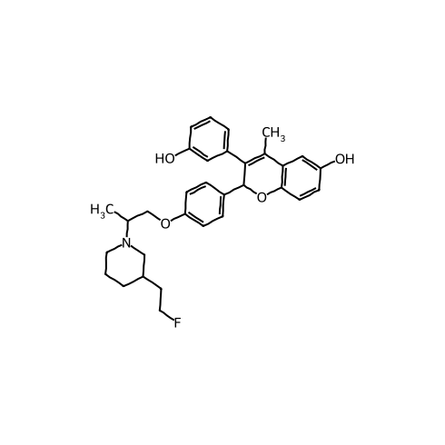 CC1=C(c2cccc(O)c2)C(c2ccc(OCC(C)N3CCCC(CCF)C3)cc2)Oc2ccc(O)cc21